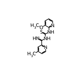 COc1cccnc1NC(=S)NC(=N)c1cc(C)ccn1